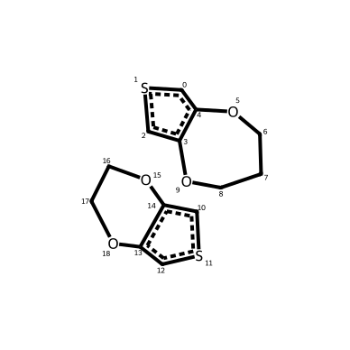 c1scc2c1OCCCO2.c1scc2c1OCCO2